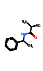 [C-]#[N+]C(C)C(=O)NC(C)c1ccccc1